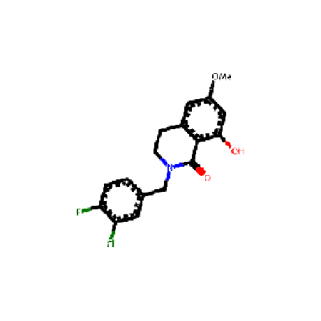 COc1cc(O)c2c(c1)CCN(Cc1ccc(F)c(Cl)c1)C2=O